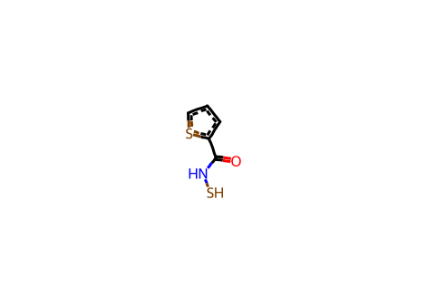 O=C(NS)c1cccs1